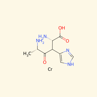 C[C@H](N)C(=O)C(c1c[nH]cn1)[C@H](N)C(=O)O.[Cr]